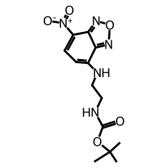 CC(C)(C)OC(=O)NCCNc1ccc([N+](=O)[O-])c2nonc12